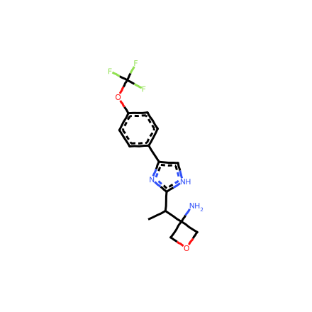 CC(c1nc(-c2ccc(OC(F)(F)F)cc2)c[nH]1)C1(N)COC1